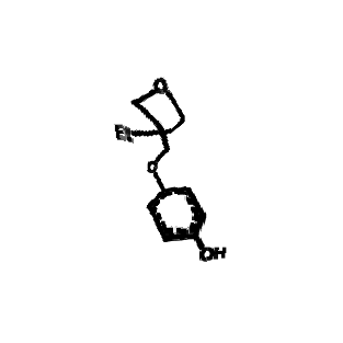 CCC1(COc2ccc(O)cc2)COC1